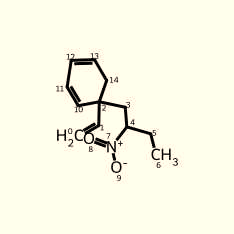 C=CC1(CC(CC)[N+](=O)[O-])C=CC=CC1